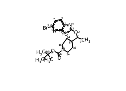 CC(Oc1nc2ccc(Br)nc2s1)C1CCN(C(=O)OC(C)(C)C)CC1